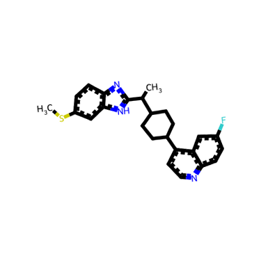 CSc1ccc2nc(C(C)C3CCC(c4ccnc5ccc(F)cc45)CC3)[nH]c2c1